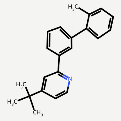 Cc1ccccc1-c1cccc(-c2cc(C(C)(C)C)ccn2)c1